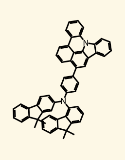 CC1(C)c2ccccc2-c2ccc(N(c3ccc(-c4cc5c6ccccc6n6c7ccccc7c7cccc4c7c56)cc3)c3cccc4c3-c3ccccc3C4(C)C)cc21